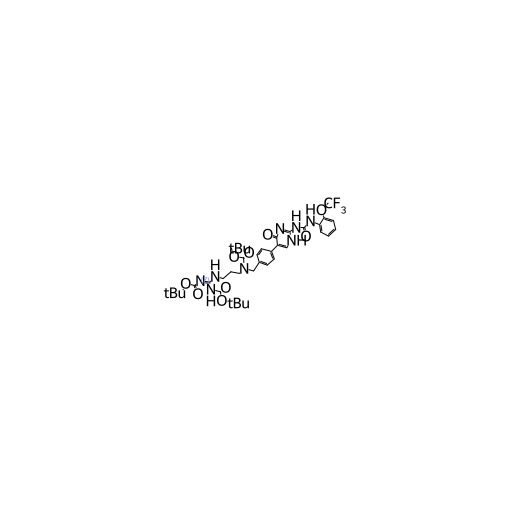 CC(C)(C)OC(=O)/N=C(/NCCCN(Cc1ccc(-c2c[nH]c(NC(=O)Nc3ccccc3OC(F)(F)F)nc2=O)cc1)C(=O)OC(C)(C)C)NC(=O)OC(C)(C)C